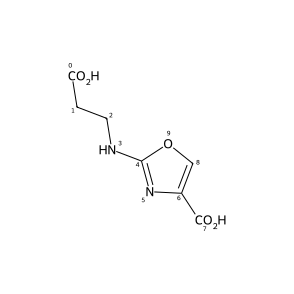 O=C(O)CCNc1nc(C(=O)O)co1